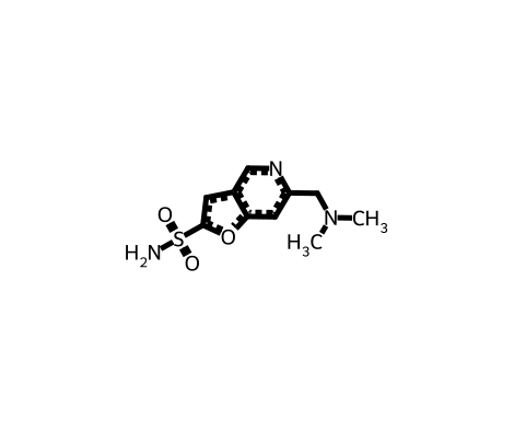 CN(C)Cc1cc2oc(S(N)(=O)=O)cc2cn1